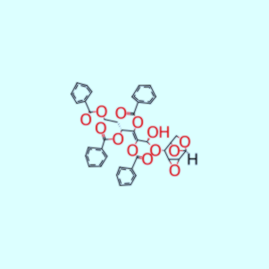 O=C(OCC[C@@H](OC(=O)c1ccccc1)/C(OC(=O)c1ccccc1)=C(\OC(=O)c1ccccc1)[C@@H](O)O[C@@H]1C2CO[C@H](O2)C2OC21)c1ccccc1